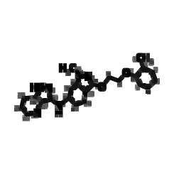 Cc1ccccc1OCCOc1nn(C)c2cc(Nc3n[nH]c4cccnc34)ccc12